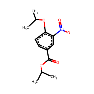 CC(C)OC(=O)c1ccc(OC(C)C)c([N+](=O)[O-])c1